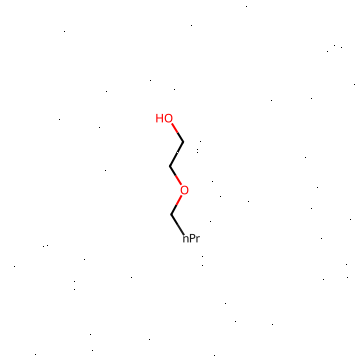 [CH2]CCCOCCO